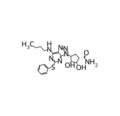 CCCCNc1nc(Sc2ccccc2)nc2c1nnn2C1C[C@H](C(N)=O)C(O)C1O